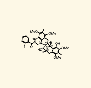 COc1c(C)c(OC)c2c(c1O)[C@H]1[C@@H]3Cc4c(OC)c(C)c(OC)c(O)c4[C@H](CNC(=O)c4ccccc4F)N3[C@@H](C#N)[C@@H](C2)N1C